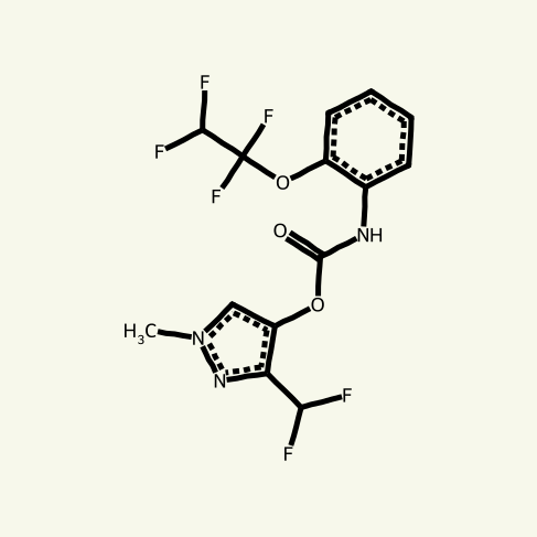 Cn1cc(OC(=O)Nc2ccccc2OC(F)(F)C(F)F)c(C(F)F)n1